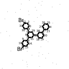 Brc1ccc(-c2cc(-c3ccc(Br)cc3)cc(-c3cccc(-c4ccccc4)c3)c2)cc1